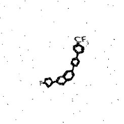 Fc1ccc(-c2ccc3ccc(-c4ccc(-c5ccc(C(F)(F)F)cc5)cc4)cc3c2)cc1